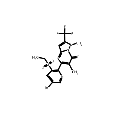 CCS(=O)(=O)c1cc(Br)cnc1-c1nc2cc(C(F)(F)F)n(C)n2c(=O)c1C